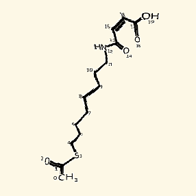 CC(=O)SCCCCCCCCNC(=O)/C=C\C(=O)O